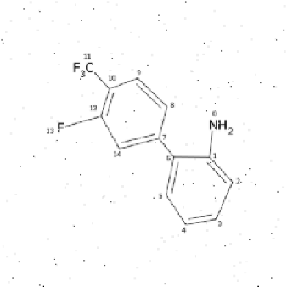 Nc1ccccc1-c1ccc(C(F)(F)F)c(F)c1